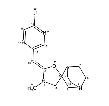 CN1CC2(CN3CCC2CC3)O/C1=N\c1cnc(Cl)cn1